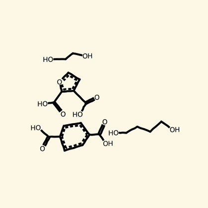 O=C(O)c1ccc(C(=O)O)cc1.O=C(O)c1ccoc1C(=O)O.OCCCCO.OCCO